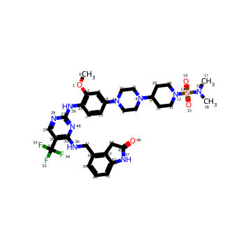 COc1cc(N2CCN(C3CCN(S(=O)(=O)N(C)C)CC3)CC2)ccc1Nc1ncc(C(F)(F)F)c(NCc2cccc3c2CC(=O)N3)n1